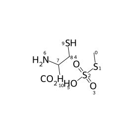 CSS(=O)(=O)O.NC(CS)C(=O)O